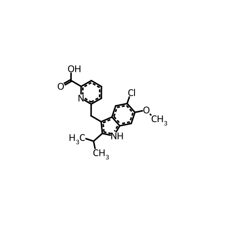 COc1cc2[nH]c(C(C)C)c(Cc3cccc(C(=O)O)n3)c2cc1Cl